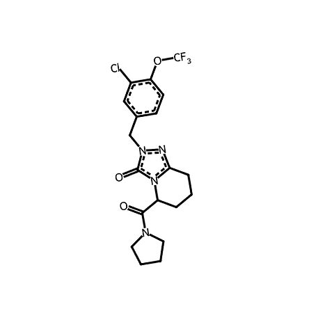 O=C(C1CCCc2nn(Cc3ccc(OC(F)(F)F)c(Cl)c3)c(=O)n21)N1CCCC1